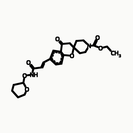 CCOC(=O)N1CCC2(CC1)CC(=O)c1cc(/C=C/C(=O)NOC3CCCCO3)ccc1O2